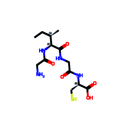 CC[C@H](C)[C@H](NC(=O)CN)C(=O)NCC(=O)N[C@@H](CS)C(=O)O